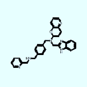 c1ccc(CNCc2ccc(CN(Cc3nc4ccccc4[nH]3)C3CCc4ncccc4O3)cc2)nc1